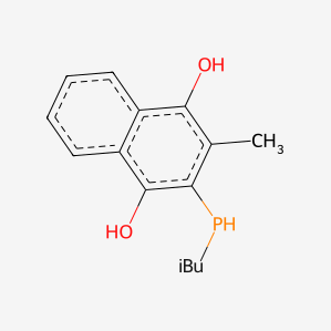 CCC(C)Pc1c(C)c(O)c2ccccc2c1O